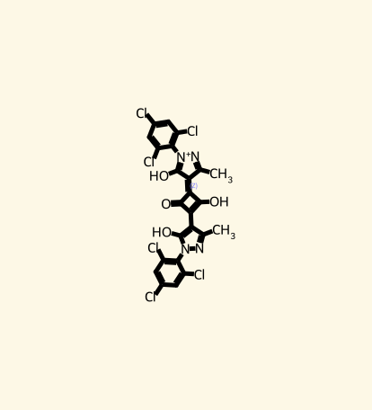 CC1=N[N+](c2c(Cl)cc(Cl)cc2Cl)=C(O)/C1=C1\C(=O)C(c2c(C)nn(-c3c(Cl)cc(Cl)cc3Cl)c2O)=C1O